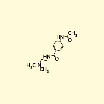 CC(=O)Nc1ccc(C(=O)NCCN(C)C)cc1